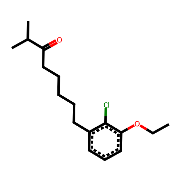 CCOc1cccc(CCCCCC(=O)C(C)C)c1Cl